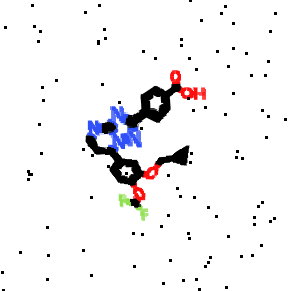 O=C(O)c1ccc(-c2nc3nccc(-c4ccc(OC(F)F)c(OCC5CC5)c4)n3n2)cc1